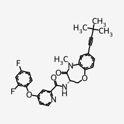 CN1C(=O)[C@@H](NC(=O)c2cc(Oc3ccc(F)cc3F)ccn2)COc2ccc(C#CC(C)(C)C)cc21